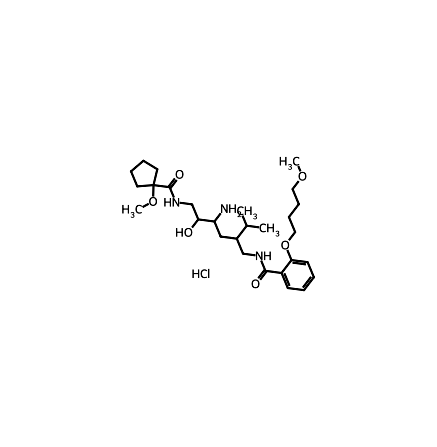 COCCCCOc1ccccc1C(=O)NCC(CC(N)C(O)CNC(=O)C1(OC)CCCC1)C(C)C.Cl